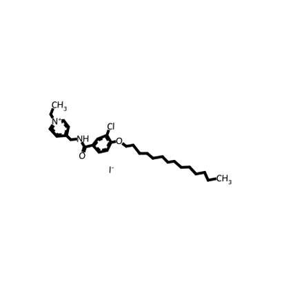 CCCCCCCCCCCCCCOc1ccc(C(=O)NCc2cc[n+](CC)cc2)cc1Cl.[I-]